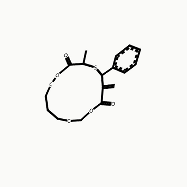 C=C1C(=O)OCCCCCCOC(=O)C(C)SC1c1ccccc1